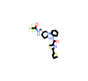 O=C(Nc1ccccc1N1CCC[C@H](CNC(=O)C(F)(F)F)C1)c1csc(-c2cccs2)n1